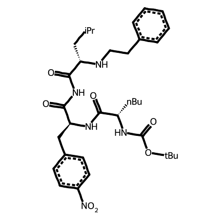 CCCC[C@H](NC(=O)OC(C)(C)C)C(=O)N[C@@H](Cc1ccc([N+](=O)[O-])cc1)C(=O)NC(=O)[C@H](CC(C)C)NCCc1ccccc1